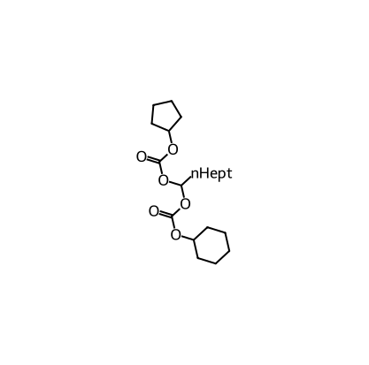 CCCCCCCC(OC(=O)OC1CCCCC1)OC(=O)OC1CCCC1